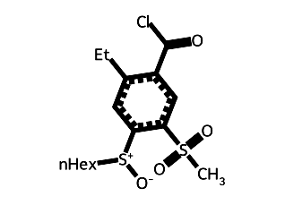 CCCCCC[S+]([O-])c1cc(CC)c(C(=O)Cl)cc1S(C)(=O)=O